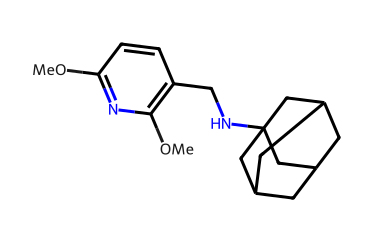 COc1ccc(CNC23CC4CC(CC(C4)C2)C3)c(OC)n1